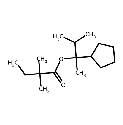 CCC(C)(C)C(=O)OC(C)(C(C)C)C1CCCC1